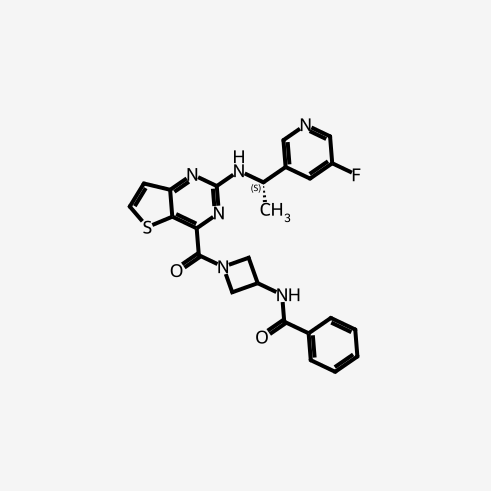 C[C@H](Nc1nc(C(=O)N2CC(NC(=O)c3ccccc3)C2)c2sccc2n1)c1cncc(F)c1